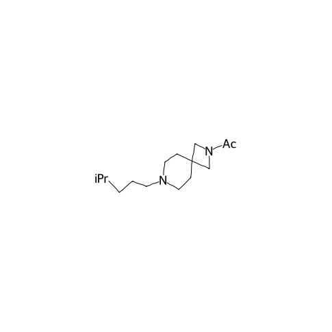 CC(=O)N1CC2(CCN(CCCC(C)C)CC2)C1